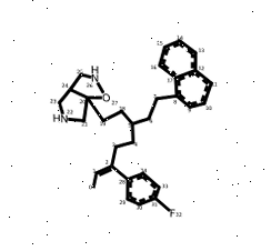 CC=C(CCC(CCc1cccc2ccccc12)CCC12CNCC1CNO2)c1ccc(F)cc1